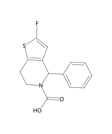 O=C(O)N1CCc2sc(F)cc2C1c1ccccc1